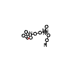 N#Cc1ccc(-c2cccc(-c3nc(-c4ccccc4)nc(-c4ccc(-c5ccc(-c6nc7c(c8ccccc68)C6(c8ccccc8-c8ccccc86)c6ccccc6-7)cc5)cc4)n3)c2)cc1